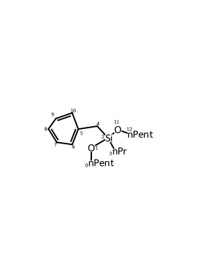 CCCCCO[Si](CCC)(Cc1ccccc1)OCCCCC